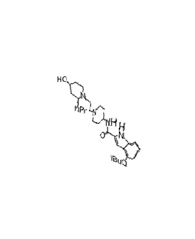 CCCC1C[C@@H](O)CCN1CCN1CCC(NC(=O)c2cc3c(OCC(C)C)cccc3[nH]2)CC1